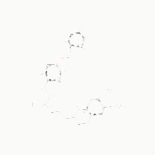 COc1cc2c(cc1OC)CC(CCCN(C)CCc1ccc(OCc3ccccc3)cc1)CC2